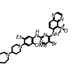 CCc1cc(Nc2ncc(Br)c(Nc3ccc4nccnc4c3P(C)(C)=O)n2)c(OC)cc1N1CCC(N2CCCOCC2)CC1